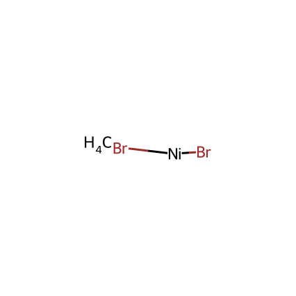 C.[Br][Ni][Br]